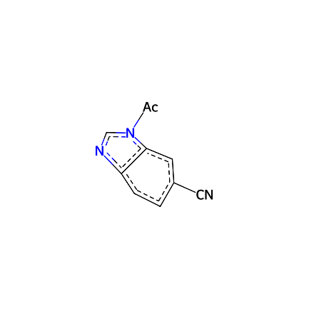 CC(=O)n1cnc2ccc(C#N)cc21